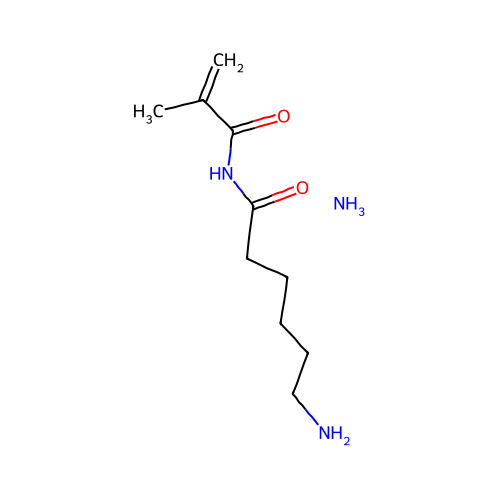 C=C(C)C(=O)NC(=O)CCCCCN.N